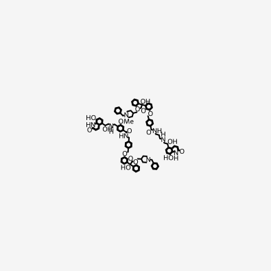 COc1cc(C(=O)NCc2ccc(COc3cccc([C@](O)(C(=O)OCC4CCN(Cc5ccccc5)CC4)c4ccccc4)c3)cc2)ccc1CNC[C@H](O)c1ccc(O)c2[nH]c(=O)ccc12.O=C(NCCCNC[C@H](O)c1ccc(O)c2[nH]c(=O)ccc12)c1ccc(COc2cccc([C@](O)(C(=O)OCC3CCN(Cc4ccccc4)CC3)c3ccccc3)c2)cc1